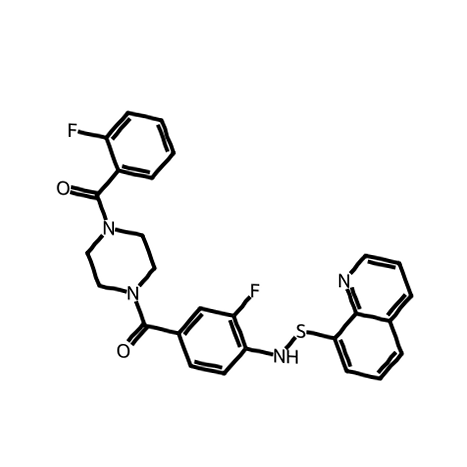 O=C(c1ccc(NSc2cccc3cccnc23)c(F)c1)N1CCN(C(=O)c2ccccc2F)CC1